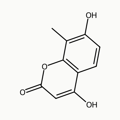 Cc1c(O)ccc2c(O)cc(=O)oc12